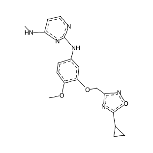 CNc1ccnc(Nc2ccc(OC)c(OCc3noc(C4CC4)n3)c2)n1